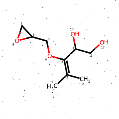 CC(C)=C(OCC1CO1)C(O)CO